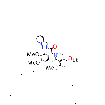 CCOc1ccc(OC)c2c1CCN(CC(=O)NCc1ccccn1)C2Cc1ccc(OC)c(OC)c1